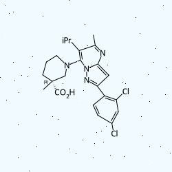 Cc1nc2cc(-c3ccc(Cl)cc3Cl)nn2c(N2CCC[C@@](C)(C(=O)O)C2)c1C(C)C